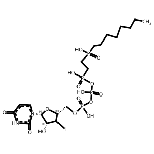 CCCCCCCCP(=O)(O)CCP(=O)(O)OP(=O)(O)OP(=O)(O)OC[C@H]1O[C@@H](n2ccc(=O)[nH]c2=O)[C@@H](O)C1I